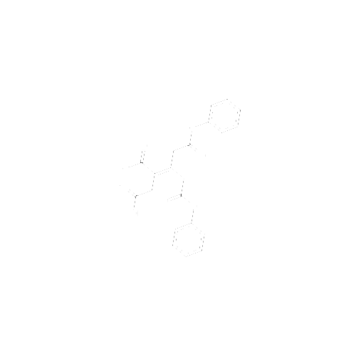 O=C(O)CC(C(=O)O)=C(CC(=O)Oc1ccccc1)CC(=O)Oc1ccccc1